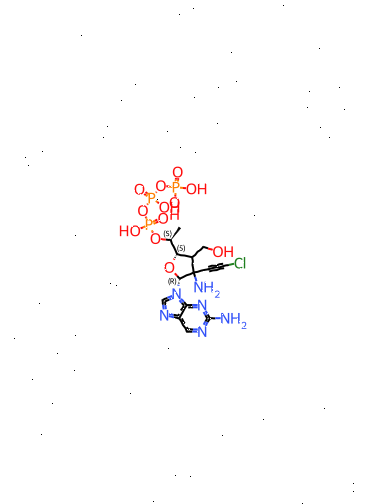 C[C@H](OP(=O)(O)OP(=O)(O)OP(=O)(O)O)[C@H]1O[C@@H](n2cnc3cnc(N)nc32)C(N)(C#CCl)C1CO